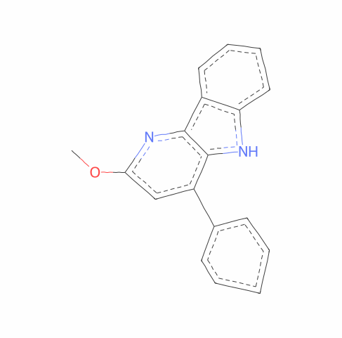 COc1cc(-c2ccccc2)c2[nH]c3ccccc3c2n1